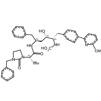 COc1cccc(-c2ccc(C[C@H](NC(=O)O)[C@@H](O)C[C@H](Cc3ccccc3)NC(=O)[C@@H](N3CCN(Cc4ccccc4)C3=O)C(C)(C)C)cc2)n1